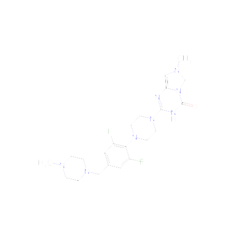 CN1C=C2N=C(N3CCN(c4c(F)cc(CN5CCN(C)CC5)cc4F)CC3)NC(=O)N2C1